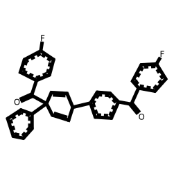 O=C(c1ccc(F)cc1)c1ccc(C2C=CC(C(=O)c3ccc(F)cc3)(c3ccccc3)C=C2)cc1